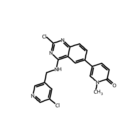 Cn1cc(-c2ccc3nc(Cl)nc(NCc4cncc(Cl)c4)c3c2)ccc1=O